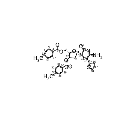 Cc1ccc(C(=O)OC[C@@H]2O[C@H](n3cc(-c4cccs4)c(N)nc3=O)C[C@H]2OC(=O)c2ccc(C)cc2)cc1